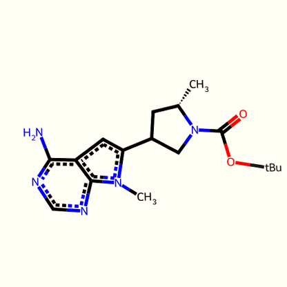 C[C@H]1CC(c2cc3c(N)ncnc3n2C)CN1C(=O)OC(C)(C)C